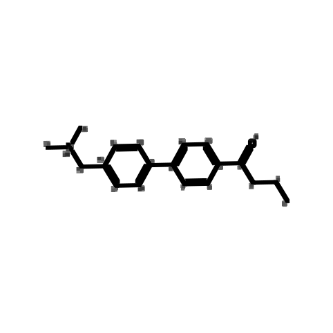 CCCC(=O)c1ccc(-c2ccc(CN(C)C)cc2)cc1